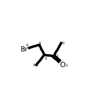 CC(=O)C(C)CBr